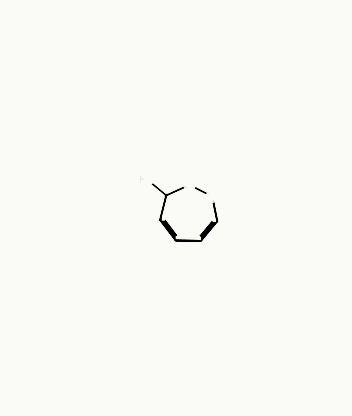 OC1C=CC=COO1